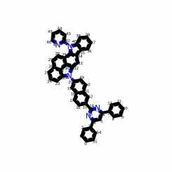 c1ccc(-c2cc(-c3ccccc3)nc(-c3ccc4cc(-n5c6cccc7ccc8c(c76)c5cc5c6ccccc6n(-c6ccccn6)c58)ccc4c3)n2)cc1